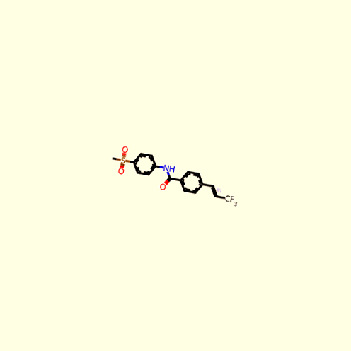 CS(=O)(=O)c1ccc(NC(=O)c2ccc(/C=C/C(F)(F)F)cc2)cc1